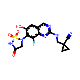 N#CC1(CNc2ncc3cc(O)c(N4CC(=O)NS4(=O)=O)c(F)c3n2)CC1